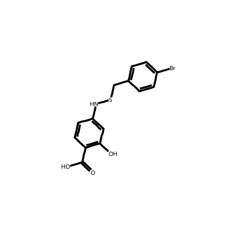 O=C(O)c1ccc(NSCc2ccc(Br)cc2)cc1O